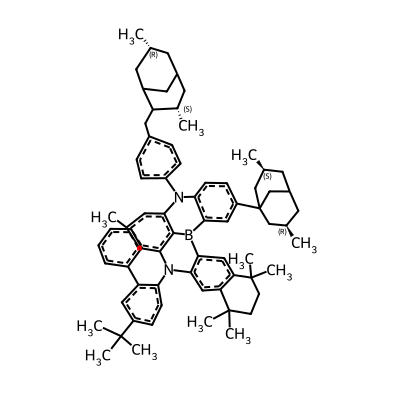 Cc1cc2c3c(c1)N(c1ccc(C(C)(C)C)cc1-c1ccccc1)c1cc4c(cc1B3c1cc(C35CC(C[C@@H](C)C3)C[C@H](C)C5)ccc1N2c1ccc(CC2C3CC(C[C@@H](C)C3)C[C@@H]2C)cc1)C(C)(C)CCC4(C)C